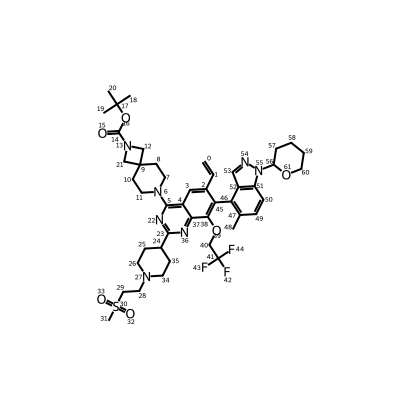 C=Cc1cc2c(N3CCC4(CC3)CN(C(=O)OC(C)(C)C)C4)nc(C3CCN(CCS(C)(=O)=O)CC3)nc2c(OCC(F)(F)F)c1-c1c(C)ccc2c1cnn2C1CCCCO1